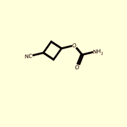 N#CC1CC(OC(N)=O)C1